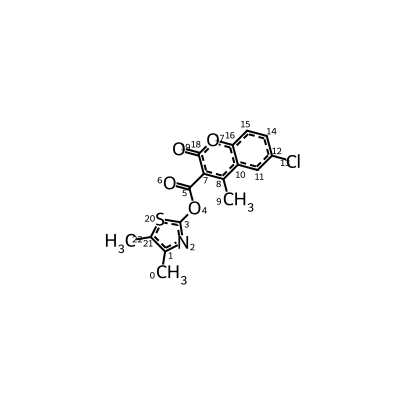 Cc1nc(OC(=O)c2c(C)c3cc(Cl)ccc3oc2=O)sc1C